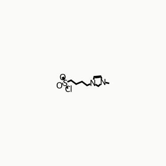 CN1C=CN(CCCCS(=O)(=O)Cl)C1